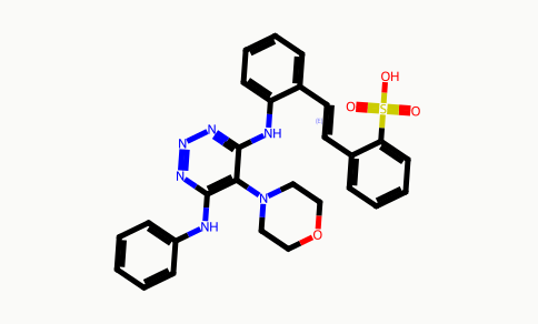 O=S(=O)(O)c1ccccc1/C=C/c1ccccc1Nc1nnnc(Nc2ccccc2)c1N1CCOCC1